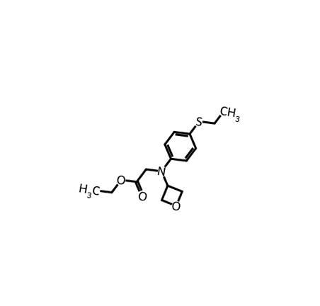 CCOC(=O)CN(c1ccc(SCC)cc1)C1COC1